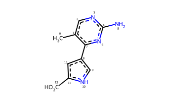 Cc1cnc(N)nc1-c1c[nH]c(C(=O)O)c1